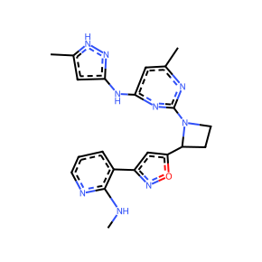 CNc1ncccc1-c1cc(C2CCN2c2nc(C)cc(Nc3cc(C)[nH]n3)n2)on1